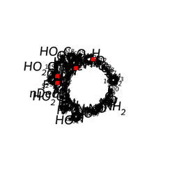 CCCCCCCCCCCCCCCC(=O)N[C@@H](CCC(=O)N[C@@H](CCC(=O)NC1=C2NCC(=O)N[C@@H](Cc3c[nH]c4ccc(F)cc34)C(=O)N[C@@H](Cc3c[nH]c4ccc(F)cc34)C(=O)N[C@@H](CC(=O)O)C(=O)N[C@@H](Cc3cnc[nH]3)C(=O)N[C@@H](Cc3ccc(O)cc3)C(=O)N3CCC[C@@]3(C)C(=O)N[C@H](C(N)=O)CSCc3cccc(c3)CSCCC(=O)N[C@H]2CCC1)C(=O)O)C(=O)O